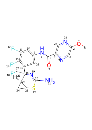 COc1cnc(C(=O)Nc2cc(F)c(F)c([C@@]3(CF)N=C(N)SC4C[C@H]43)c2)cn1